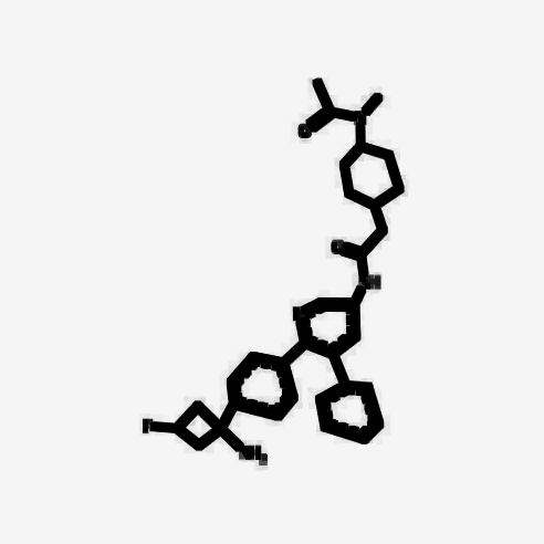 CC(=O)N(C)C1CCC(CC(=O)Nc2cnc(-c3ccc(C4(N)CC(F)C4)cc3)c(-c3ccccc3)c2)CC1